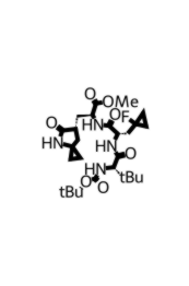 COC(=O)[C@H](C[C@@H]1CC2(CC2)NC1=O)NC(=O)[C@H](CC1(F)CC1)NC(=O)[C@@H](NC(=O)OC(C)(C)C)C(C)(C)C